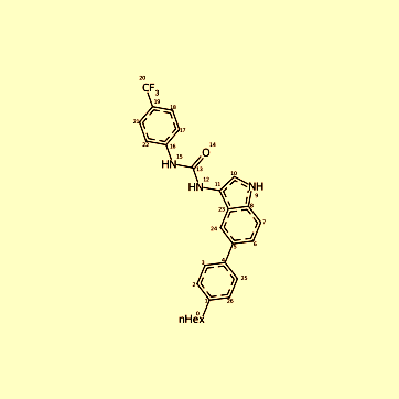 CCCCCCc1ccc(-c2ccc3[nH]cc(NC(=O)Nc4ccc(C(F)(F)F)cc4)c3c2)cc1